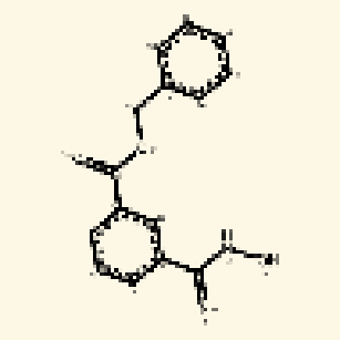 N=C(NO)c1cccc(C(=O)OCc2ccccc2)c1